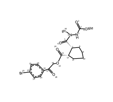 COC(=O)NN(C(=O)[C@@H]1CCCC[C@@H]1C(=O)OCC(=O)c1ccc(Br)cc1)C(C)C